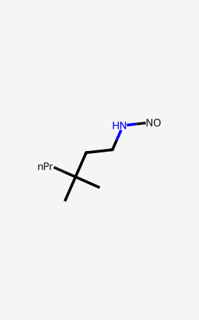 CCCC(C)(C)CCNN=O